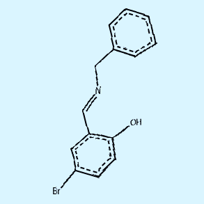 Oc1ccc(Br)cc1/C=N/Cc1ccccc1